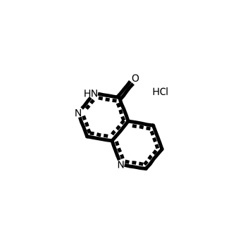 Cl.O=c1[nH]ncc2ncccc12